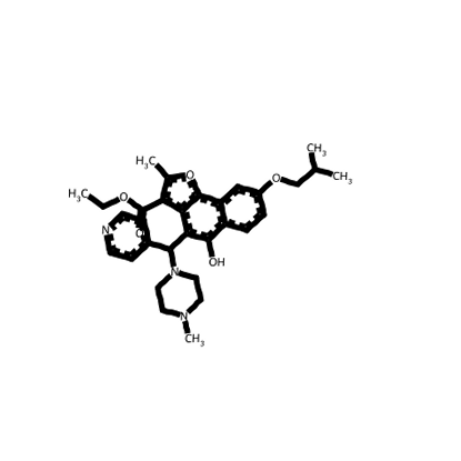 CCOC(=O)c1c(C)oc2c1c(C(c1ccncc1)N1CCN(C)CC1)c(O)c1ccc(OCC(C)C)cc12